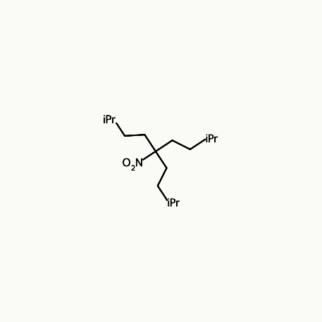 CC(C)CCC(CCC(C)C)(CCC(C)C)[N+](=O)[O-]